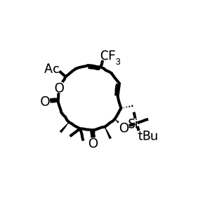 CC(=O)C1C/C=C(/C(F)(F)F)C/C=C/[C@H](C)[C@H](O[Si](C)(C)C(C)(C)C)[C@@H](C)C(=O)C(C)(C)[C@@H](C)CC(=O)O1